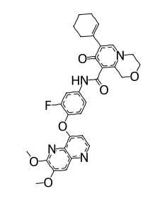 COc1cc2nccc(Oc3ccc(NC(=O)c4c5n(cc(C6=CCCCC6)c4=O)CCOC5)cc3F)c2nc1OC